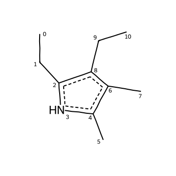 CCc1[nH]c(C)c(C)c1CC